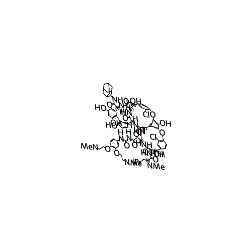 CNCCOc1ccc(NC(=O)NC(=O)C[C@@H]2NC(=O)[C@H](NC(=O)[C@@H](CC(C)C)NC)[C@H](O)c3ccc(c(Cl)c3)Oc3cc4cc(c3O)Oc3ccc(cc3Cl)[C@@H](O)[C@@H]3NC(=O)[C@H](NC(=O)[C@@H]4NC2=O)c2ccc(O)c(c2)-c2c(O)cc(O)cc2[C@@H](C(=O)NC2C4CC5CC(C4)CC2C5)NC3=O)cc1OCCNC